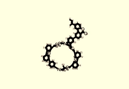 C/C=C(\C)c1ccc2oc(=O)c3ccc(-c4ccc5c(c4)c4cc6ccc4n5-c4ccc(cc4)-c4cccc5c4oc4c(cccc45)-c4ccc(cc4)Nc4ccc(cc4C)-c4cccc5c4sc4c-6cccc45)cc3c2c1